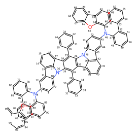 C=Cc1oc2c(N(c3ccc4c(c3)c3cccc5c6c(-c7ccccc7)c7c(c(-c8ccccc8)c6n4c35)c3cccc4c5cc(N(c6ccccc6-c6ccccc6)c6cccc8c6oc6ccccc68)ccc5n7c43)c3ccccc3-c3ccccc3)cccc2c1/C=C\C